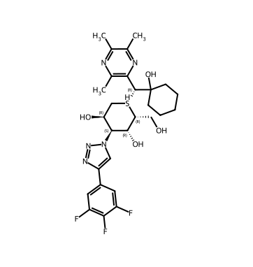 Cc1nc(C)c([C@@H]([SH]2C[C@H](O)[C@H](n3cc(-c4cc(F)c(F)c(F)c4)nn3)[C@@H](O)[C@H]2CO)C2(O)CCCCC2)nc1C